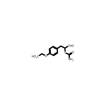 NC(=O)SC(C=O)Cc1ccc(OCC(=O)O)cc1